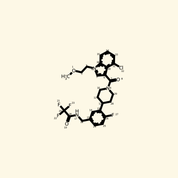 COCCn1cc(C(=O)N2CCC(c3cc(CNC(=O)C(F)(F)F)ccc3F)CC2)c2c(Cl)cccc21